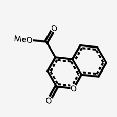 COC(=O)c1cc(=O)oc2ccccc12